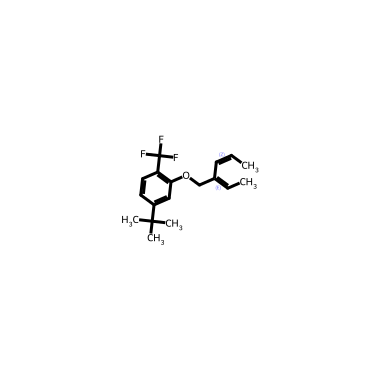 C/C=C\C(=C/C)COc1cc(C(C)(C)C)ccc1C(F)(F)F